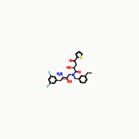 CCc1cccc(CN(C[C@@H](O)[C@@H](N)Cc2cc(F)cc(F)c2)C(=O)C(O)CC(=O)c2cccs2)c1